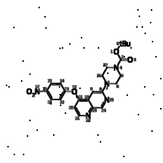 CC(C)(C)OC(=O)N1CCN(c2cc3c(Oc4ccc([N+](=O)[O-])cc4)ccnc3cn2)CC1